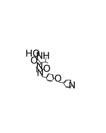 CC(C)C(C(=O)NO)N1CCN(Cc2ccc(OCc3ccncc3)cc2)C1=O